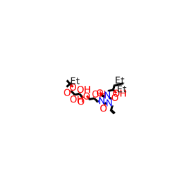 C=CCn1c(=O)n(CC(O)COC(=O)C(O)C(O)C(=O)OC(C)(C)CC)c(=O)n(CC(O)CC(C)(CC)CC)c1=O